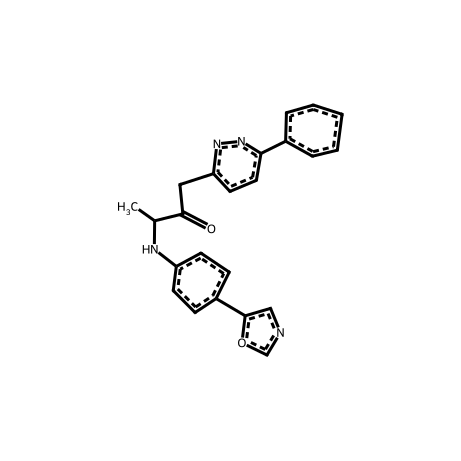 CC(Nc1ccc(-c2cnco2)cc1)C(=O)Cc1ccc(-c2ccccc2)nn1